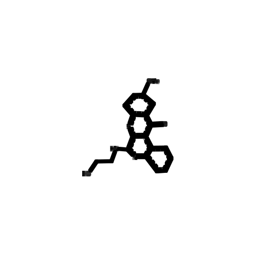 COc1ccc2sc3c(NCCO)nc4ccccc4c3c(=O)c2c1